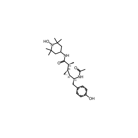 CC(=O)N[C@@H](Cc1ccc(O)cc1)[C@@H]1C[C@H]1[C@H](C)C(=O)NC1CC(C)(C)N(O)C(C)(C)C1